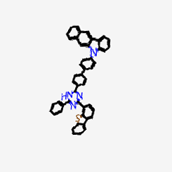 c1ccc(C2=NC(c3cccc4c3sc3ccccc34)=NC(c3ccc(-c4ccc(-n5c6ccccc6c6cc7ccccc7cc65)cc4)cc3)N2)cc1